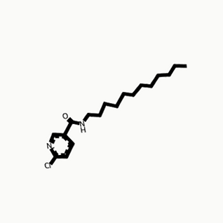 CCCCCCCCCCCCNC(=O)c1ccc(Cl)nc1